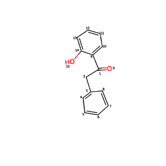 O=C(Cc1ccccc1)c1c[c]ccc1O